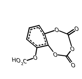 O=C(O)Oc1cccc2c1OC(=O)OC(=O)O2